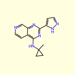 CC1(Nc2nc(-c3ccn[nH]3)nc3cnccc23)CC1